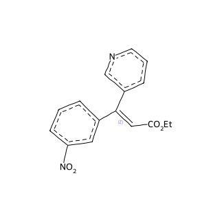 CCOC(=O)/C=C(\c1cccnc1)c1cccc([N+](=O)[O-])c1